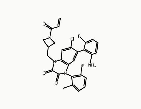 C=CC(=O)N1CC(Cn2c(=O)c(=O)n(-c3c(C)cccc3C(C)C)c3cc(-c4c(N)cccc4F)c(Cl)cc32)C1